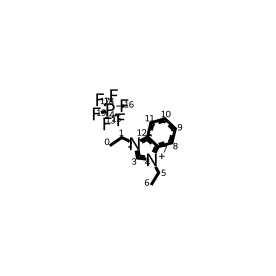 CCn1c[n+](CC)c2ccccc21.F[P-](F)(F)(F)(F)F